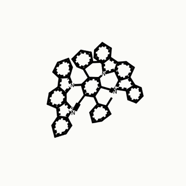 Cc1ccccc1-c1c(C#N)c(-n2c3ccccc3c3ccc4c5ccccc5sc4c32)c(-c2ccccc2C)c(-n2c3ccccc3c3ccc4c5ccccc5sc4c32)c1C#N